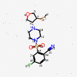 CS[C@@H]1COC[C@H]1N1CCN(S(=O)(=O)c2cc(F)ccc2C#N)CC1